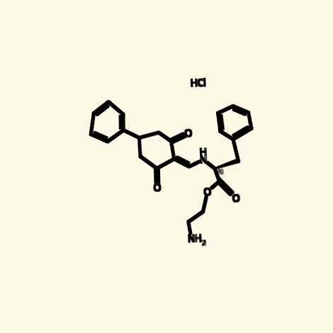 Cl.NCCOC(=O)[C@H](Cc1ccccc1)NC=C1C(=O)CC(c2ccccc2)CC1=O